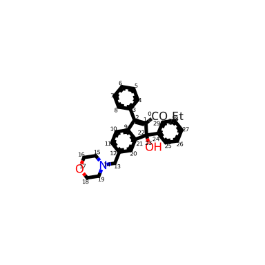 CCOC(=O)C1=C(c2ccccc2)c2ccc(CN3CCOCC3)cc2C1(O)c1ccccc1